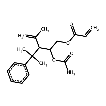 C=CC(=O)OCC(OC(N)=O)C(C(=C)C)C(C)(C)c1ccccc1